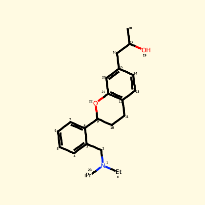 CCN(Cc1ccccc1C1CCc2ccc(CC(C)O)cc2O1)C(C)C